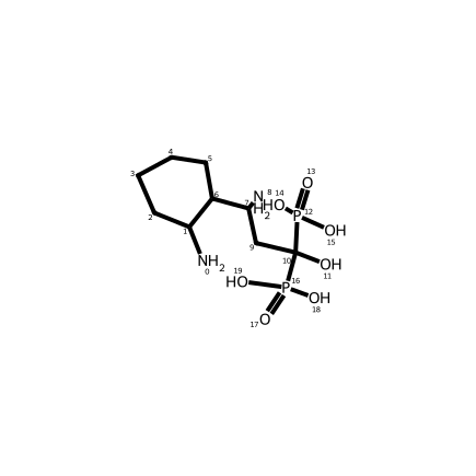 NC1CCCCC1C(N)CC(O)(P(=O)(O)O)P(=O)(O)O